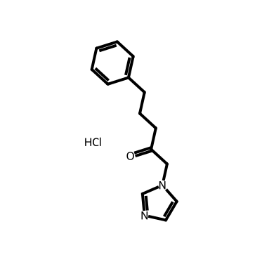 Cl.O=C(CCCc1ccccc1)Cn1ccnc1